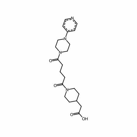 O=C(O)CC1CCN(C(=O)CCCC(=O)N2CCN(c3ccncc3)CC2)CC1